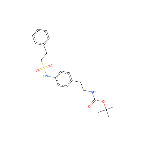 CC(C)(C)OC(=O)NCCc1ccc(NS(=O)(=O)CCc2ccccc2)cc1